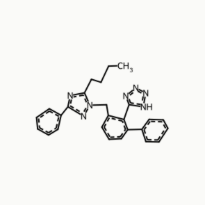 CCCCc1nc(-c2ccccc2)nn1Cc1cccc(-c2ccccc2)c1-c1nnn[nH]1